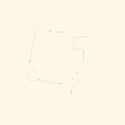 [2H]C1=CC2=CC3=NC(=CC4=NC(=CC5=NC(=CC1=N2)C=C5)C=C4)C=C3.[Cu]